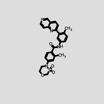 Cc1cc(N2CCOCS2(=O)=O)ccc1C(=O)Nc1ccc(C)c(-c2ccc3cnccc3n2)c1